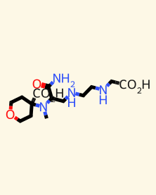 CN(C(CNCCNCC(=O)O)C(N)=O)C1(C(=O)O)CCOCC1